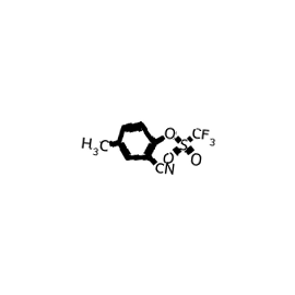 Cc1ccc(OS(=O)(=O)C(F)(F)F)c(C#N)c1